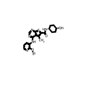 Cc1c(C(=O)N[C@H]2CC[C@H](O)CC2)sc2ncnc(Nc3cccnc3OC(C)C)c12